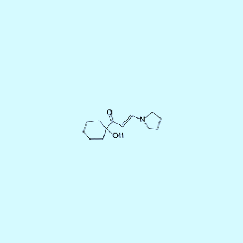 O=C(C=CN1CCCC1)C1(O)CCCCC1